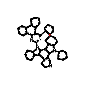 c1ccc(-c2nc(-n3c4ccccc4c4c5ccncc5c5c(c6ccccc6n5-c5ccccc5)c43)nc3c4ccccc4c4ccccc4c23)cc1